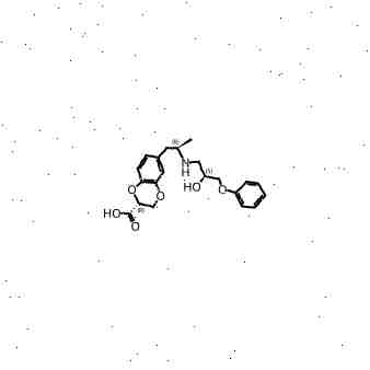 C[C@H](Cc1ccc2c(c1)OC[C@H](C(=O)O)O2)NC[C@H](O)COc1ccccc1